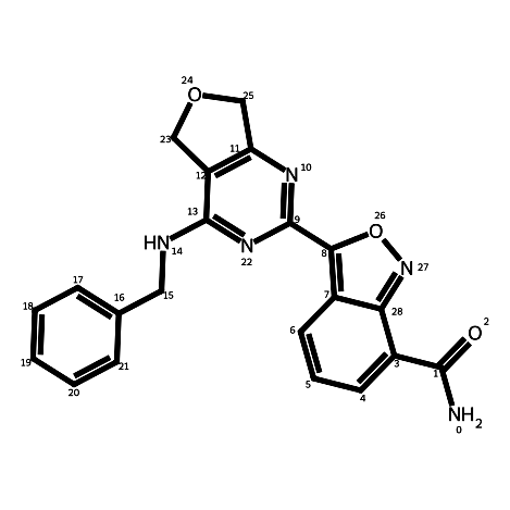 NC(=O)c1cccc2c(-c3nc4c(c(NCc5ccccc5)n3)COC4)onc12